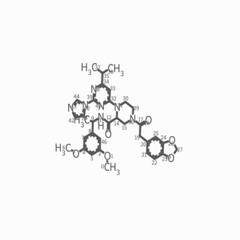 COc1cc(OC)cc(C(C)NC(=O)C2CN(C(=O)Cc3ccc4c(c3)OCO4)CCN2c2cc(C(C)C)nc(-n3ccnc3)n2)c1